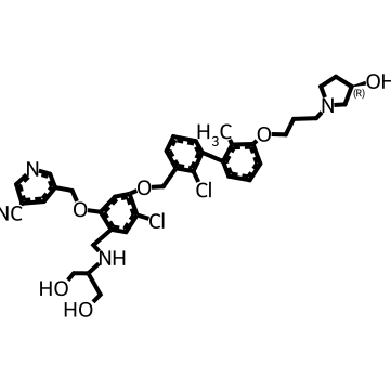 Cc1c(OCCCN2CC[C@@H](O)C2)cccc1-c1cccc(COc2cc(OCc3cncc(C#N)c3)c(CNC(CO)CO)cc2Cl)c1Cl